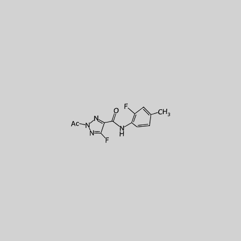 CC(=O)n1nc(F)c(C(=O)Nc2ccc(C)cc2F)n1